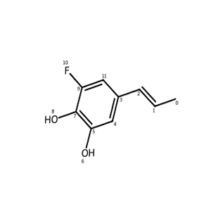 CC=Cc1cc(O)c(O)c(F)c1